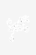 CC(C)C[C@@H](C[C@H](NC(=O)[C@H](CC(C)C)NC(=O)[C@H](CCc1ccccc1)NC(=O)CN1CCOCC1)C(=O)c1ccccc1)C(=O)[C@@]1(C)CO1